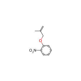 C=C(C)COc1ccccc1[N+](=O)[O-]